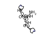 NCCNC(=O)OC(CNC(=O)OCC1C2CC/C=C/CCC21)CNC(=O)OC[C@@H]1C2CC/C=C/CC[C@H]21